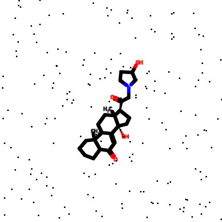 CC12CCCCC1C(=O)C=C1C2CCC2(C)[C@@H](C(=O)CN3CCC(O)C3)CC[C@@]12O